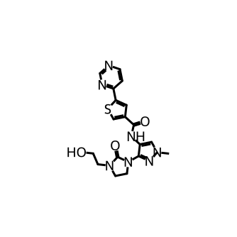 Cn1cc(NC(=O)c2csc(-c3ccncn3)c2)c(N2CCN(CCO)C2=O)n1